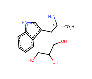 N[C@@H](Cc1c[nH]c2ccccc12)C(=O)O.OCC(O)CO